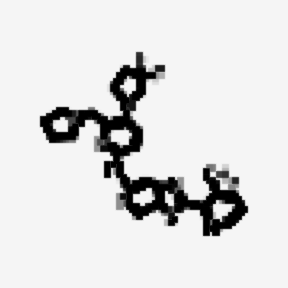 Cc1cccnc1-c1nc2cc(Nc3ccc(N4CCC(F)(F)C4)c(CN4CCCC4)n3)ncc2s1